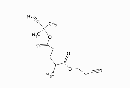 C#CC(C)(C)OC(=O)CCC(C)C(=O)OCCC#N